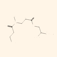 CCCCCCCCCCCCC(=O)N(C)CCC(=O)OCC(CCCCCC)CCCCCCCC